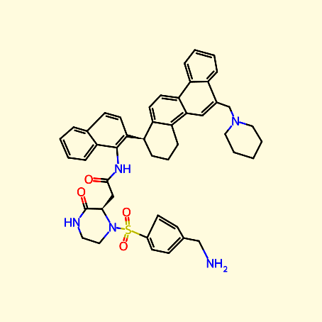 NCc1ccc(S(=O)(=O)N2CCNC(=O)[C@H]2CC(=O)Nc2c([C@@H]3CCCc4c3ccc3c4cc(CN4CCCCC4)c4ccccc43)ccc3ccccc23)cc1